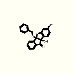 CC(C)c1ccc2c(c1)OC1(OCc3ccccc3)c3ccccc3C(=O)C21O